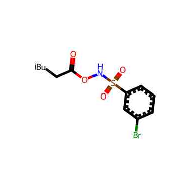 CCC(C)CC(=O)ONS(=O)(=O)c1cccc(Br)c1